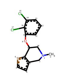 CN1Cc2ccsc2C(Oc2cccc(Cl)c2Cl)C1